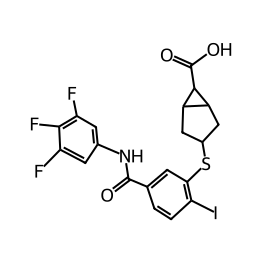 O=C(Nc1cc(F)c(F)c(F)c1)c1ccc(I)c(SC2CC3C(C2)C3C(=O)O)c1